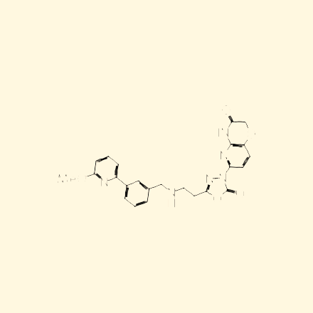 COc1cccc(-c2cccc(CNCCc3nn(-c4ccc5c(n4)NC(=O)CO5)c(=O)o3)c2)n1